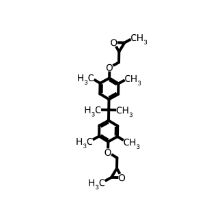 Cc1cc(C(C)(C)c2cc(C)c(OCC3OC3C)c(C)c2)cc(C)c1OCC1OC1C